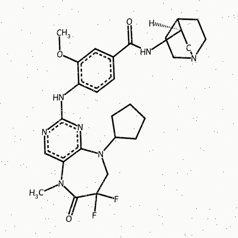 COc1cc(C(=O)N[C@@H]2CN3CCC2CC3)ccc1Nc1ncc2c(n1)N(C1CCCC1)CC(F)(F)C(=O)N2C